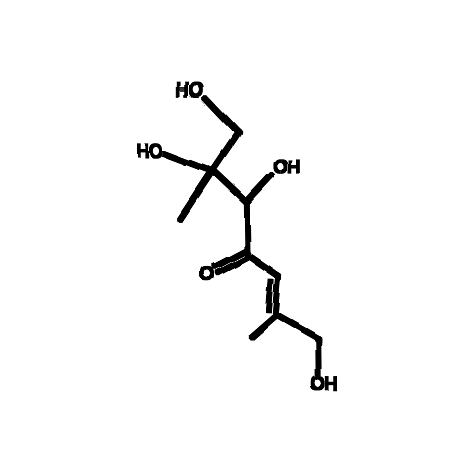 C/C(=C\C(=O)C(O)C(C)(O)CO)CO